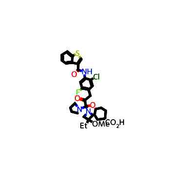 CCC1(OC)CN(C(OC2CCC(C(=O)O)CC2)(C(=O)Cc2cc(Cl)c(NC(=O)c3csc4ccccc34)cc2F)N2CCCC2)C1